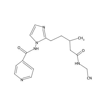 CC(CCc1nccn1NC(=O)c1ccncc1)CC(=O)NCC#N